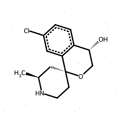 C[C@H]1C[C@@]2(CCN1)OC[C@@H](O)c1ccc(Cl)cc12